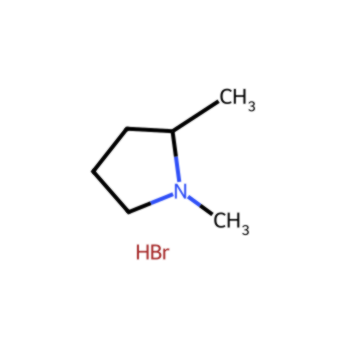 Br.CC1CCCN1C